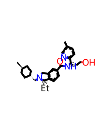 CC[C@H]1c2ccc(C(=O)N[C@@H](CCO)c3ccc(C)cn3)cc2CN1C[C@H]1CC[C@H](C)CC1